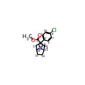 COC(=O)C1(c2ccc(Cl)cc2)CC2CCC(C1)N2C